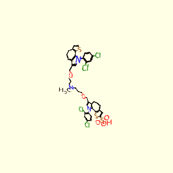 CN(CCCOCc1cn(-c2ccc(Cl)cc2Cl)c2c1CCCc1ccsc1-2)CCCOCc1cn(-c2ccc(Cl)cc2Cl)c2c1CCCc1cc(S(=O)(=O)O)sc1-2